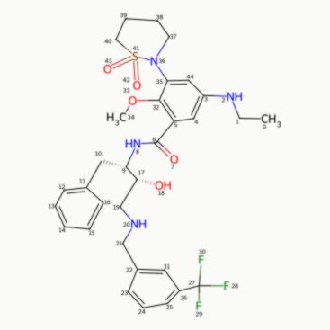 CCNc1cc(C(=O)N[C@@H](Cc2ccccc2)[C@H](O)CNCc2cccc(C(F)(F)F)c2)c(OC)c(N2CCCCS2(=O)=O)c1